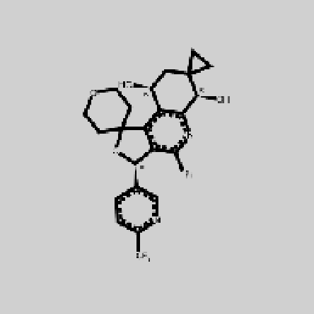 CC(C)c1nc2c(c3c1[C@@H](c1ccc(C(F)(F)F)nc1)OC31CCOCC1)[C@@H](O)CC1(CC1)[C@H]2O